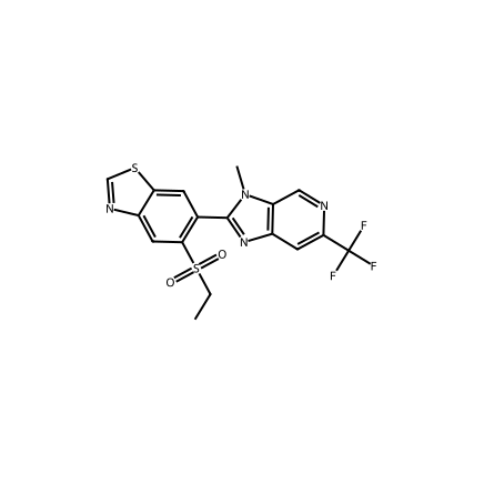 CCS(=O)(=O)c1cc2ncsc2cc1-c1nc2cc(C(F)(F)F)ncc2n1C